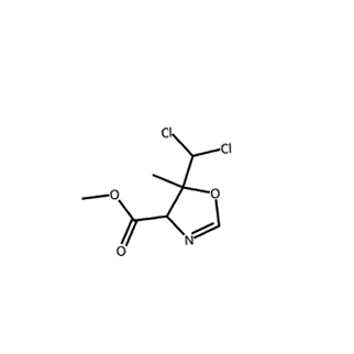 COC(=O)C1N=COC1(C)C(Cl)Cl